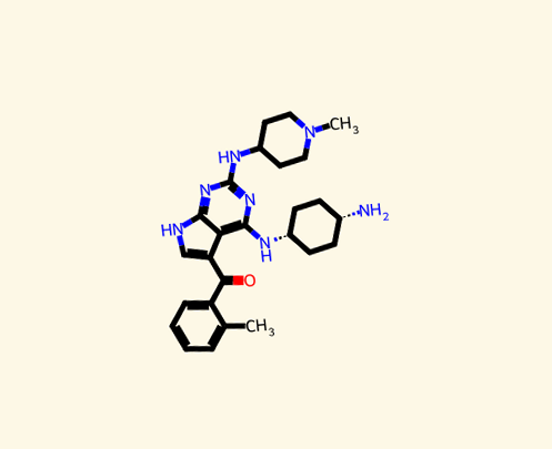 Cc1ccccc1C(=O)c1c[nH]c2nc(NC3CCN(C)CC3)nc(N[C@H]3CC[C@@H](N)CC3)c12